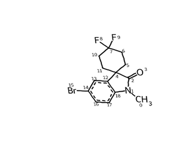 CN1C(=O)C2(CCC(F)(F)CC2)c2cc(Br)ccc21